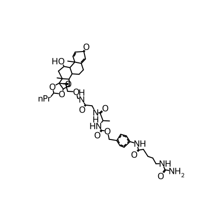 CCCC1OC2CC3C4CCC5=CC(=O)C=CC5(C)C4C(O)CC3(C)C2(C(=O)COCNC(=O)CNC(=O)C(C)NC(=O)OCc2ccc(NC(=O)CCCCNC(N)=O)cc2)O1